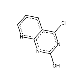 Oc1nc(Cl)c2cccnc2n1